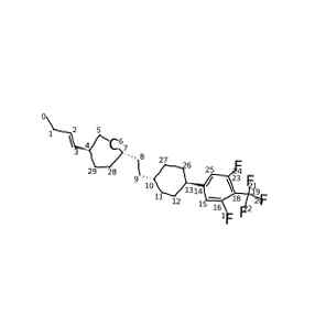 CC/C=C/[C@H]1CC[C@H](CC[C@H]2CC[C@H](c3cc(F)c(C(F)(F)F)c(F)c3)CC2)CC1